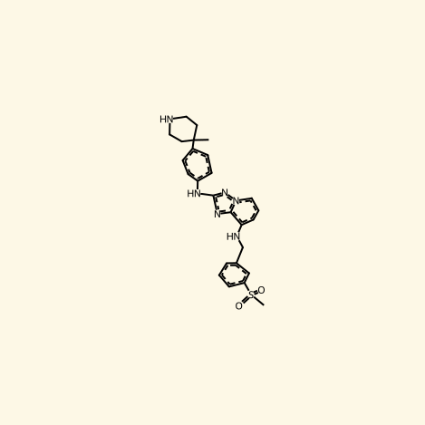 CC1(c2ccc(Nc3nc4c(NCc5cccc(S(C)(=O)=O)c5)cccn4n3)cc2)CCNCC1